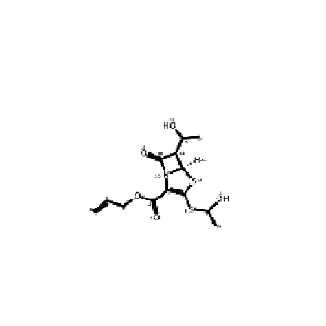 C=CCOC(=O)C1=C(SC(C)O)S[C@@H]2C(C(C)O)C(=O)N12